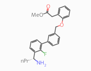 CCC[C@@H](N)c1cccc(-c2cccc(COc3ccccc3CC(=O)OC)c2)c1F